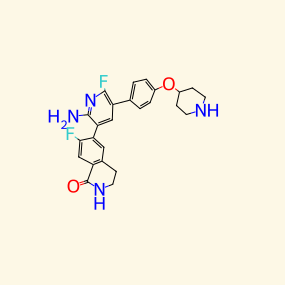 Nc1nc(F)c(-c2ccc(OC3CCNCC3)cc2)cc1-c1cc2c(cc1F)C(=O)NCC2